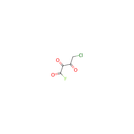 O=C(F)C(=O)C(=O)CCl